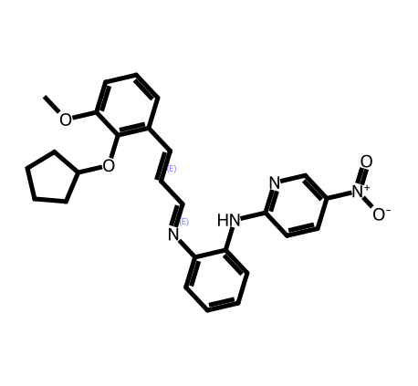 COc1cccc(/C=C/C=N/c2ccccc2Nc2ccc([N+](=O)[O-])cn2)c1OC1CCCC1